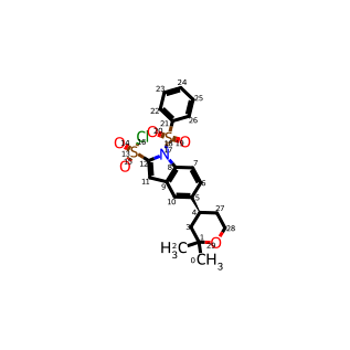 CC1(C)C[C@@H](c2ccc3c(c2)cc(S(=O)(=O)Cl)n3S(=O)(=O)c2ccccc2)CCO1